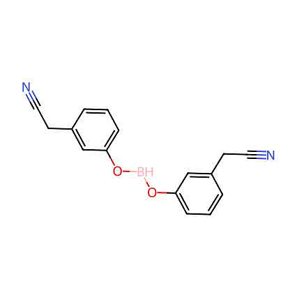 N#CCc1cccc(OBOc2cccc(CC#N)c2)c1